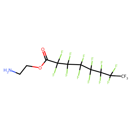 NCCOC(=O)C(F)(F)C(F)(F)C(F)(F)C(F)(F)C(F)(F)C(F)(F)C(F)(F)F